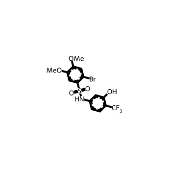 COc1cc(Br)c(S(=O)(=O)Nc2ccc(C(F)(F)F)c(O)c2)cc1OC